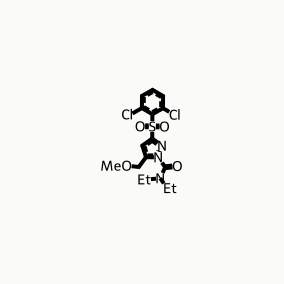 CCN(CC)C(=O)n1nc(S(=O)(=O)c2c(Cl)cccc2Cl)cc1COC